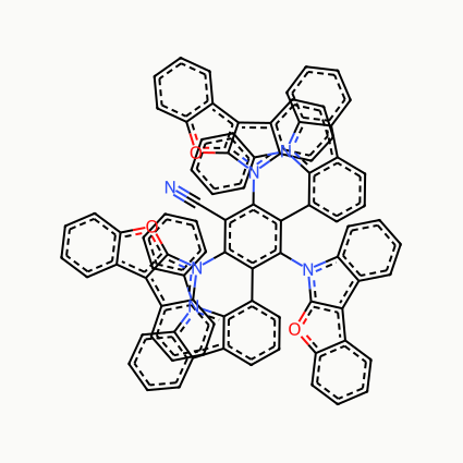 N#Cc1c(-n2c3ccccc3c3c4ccccc4oc32)c(-c2cccc3c4ccccc4n(-c4ccccc4)c23)c(-n2c3ccccc3c3c4ccccc4oc32)c(-c2cccc3c4ccccc4n(-c4ccccc4)c23)c1-n1c2ccccc2c2c3ccccc3oc21